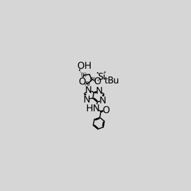 CC(C)(C)[Si](C)(C)O[C@@H]1C[C@@H](CO)O[C@H]1n1cnc2c(NC(=O)c3ccccc3)ncnc21